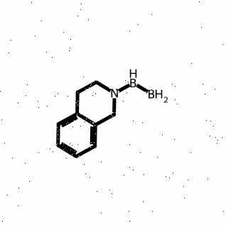 BBN1CCc2ccccc2C1